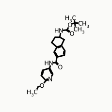 CCOc1ccc(NC(=O)c2ccc3c(c2)CCC(NC(=O)OC(C)(C)C)C3)cn1